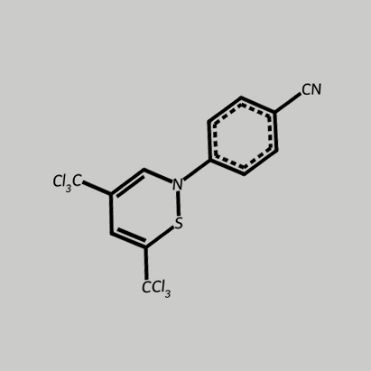 N#Cc1ccc(N2C=C(C(Cl)(Cl)Cl)C=C(C(Cl)(Cl)Cl)S2)cc1